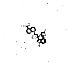 CC(C)(CC(=O)N1CCCC2C(C(=O)O)CCCC21)c1c[nH]c2cccc(-c3ccc(F)o3)c12